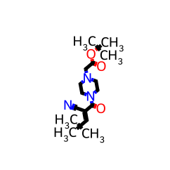 CC(C)(C)/C=C(\C#N)C(=O)N1CCN(CC(=O)OC(C)(C)C)CC1